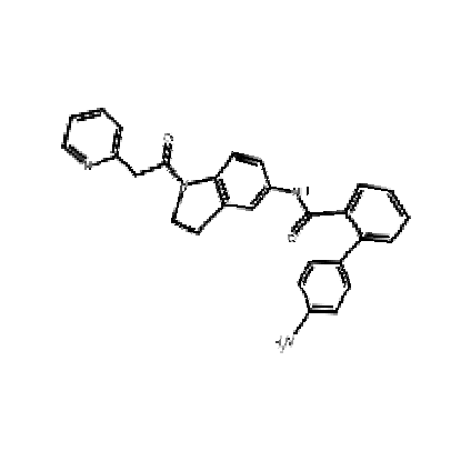 Nc1ccc(-c2ccccc2C(=O)Nc2ccc3c(c2)CCN3C(=O)Cc2ccccn2)cc1